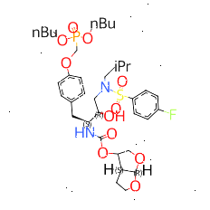 CCCCOP(=O)(COc1ccc(C[C@H](NC(=O)OC2CO[C@H]3OCC[C@@H]23)[C@H](O)CN(CC(C)C)S(=O)(=O)c2ccc(F)cc2)cc1)OCCCC